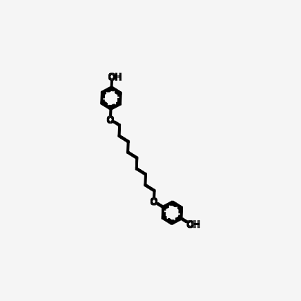 Oc1ccc(OCCCCCCCCCOc2ccc(O)cc2)cc1